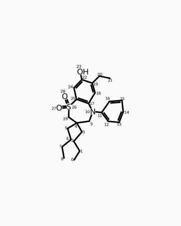 CCCCC1(CCCC)CN(c2ccccc2)c2cc(CC)c(O)cc2S(=O)(=O)C1